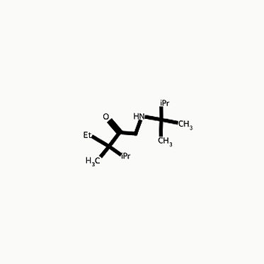 CCC(C)(C(=O)CNC(C)(C)C(C)C)C(C)C